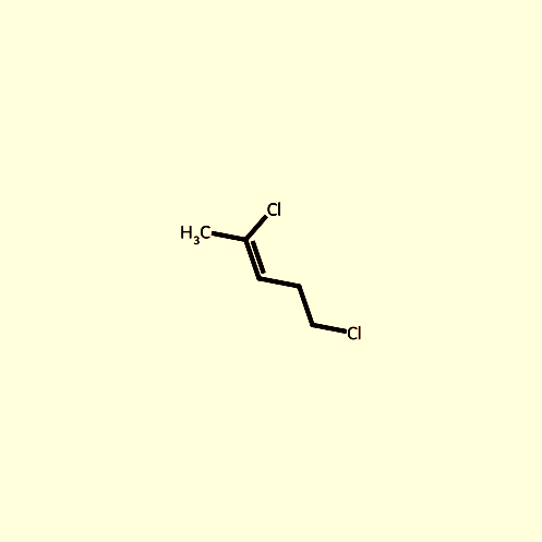 CC(Cl)=CCCCl